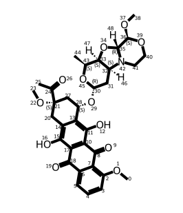 COc1cccc2c1C(=O)c1c(O)c3c(c(O)c1C2=O)C[C@@](OC)(C(C)=O)C[C@@H]3O[C@H]1C[C@H]2[C@H](O[C@@H]3[C@@H](OC)OCCN32)[C@H](C)O1